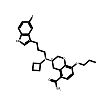 CCCOc1ccc(C(N)=O)c2c1OC[C@H](N(CCCc1c[nH]c3ccc(F)cc13)C1CCC1)C2